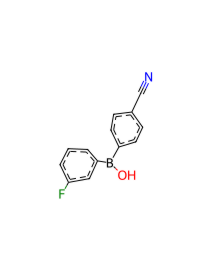 N#Cc1ccc(B(O)c2cccc(F)c2)cc1